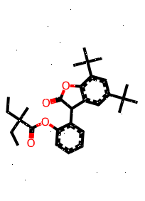 CCC(C)(CC)C(=O)Oc1ccccc1C1C(=O)Oc2c1cc(C(C)(C)C)cc2C(C)(C)C